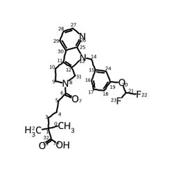 CC(C)(CCCC(=O)N1CCc2c(n(Cc3cccc(OC(F)F)c3)c3ncccc23)C1)C(=O)O